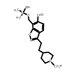 CC(C)(C)[Si](C)(C)OCc1c(C=O)ccc2c(CCC3CCN(C(=O)O)CC3)noc12